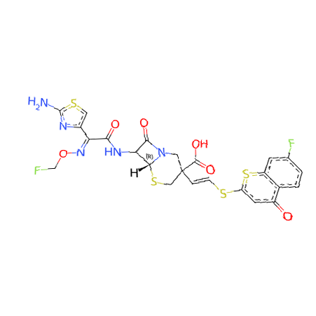 Nc1nc(C(=NOCF)C(=O)NC2C(=O)N3CC(C=CSc4cc(=O)c5ccc(F)cc5s4)(C(=O)O)CS[C@H]23)cs1